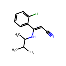 CC(C)C(C)N/C(=C\C#N)c1ccccc1Cl